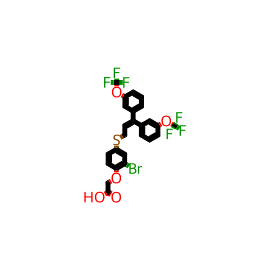 O=C(O)COc1ccc(SCC=C(c2cccc(OC(F)(F)F)c2)c2cccc(OC(F)(F)F)c2)cc1Br